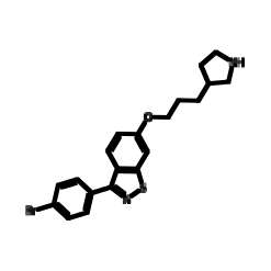 Brc1ccc(-c2nsc3cc(OCCCC4CCNC4)ccc23)cc1